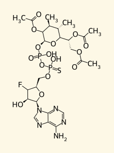 CC(=O)OC[C@@H](OC(C)=O)C1O[C@@H](OP(=O)(O)OP(O)(=S)OC[C@H]2O[C@@H](n3cnc4c(N)ncnc43)[C@@H](O)C2F)C(OC(C)=O)[C@@H](C)[C@@H]1C